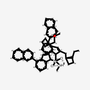 CCCC1(CC2=Cc3c(-c4ccc5ccccc5c4)cccc3[CH]2[Zr]([Cl])([Cl])([CH]2C(CC3(CCC)CCC3)=Cc3c(-c4ccc5ccccc5c4)cccc32)[SiH](C)C)CCC1